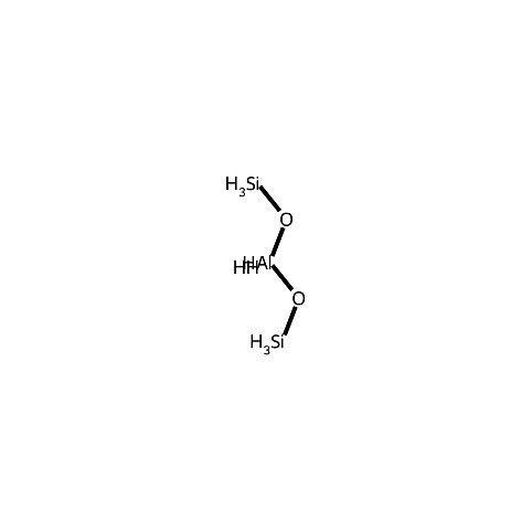 [HH].[SiH3][O][AlH][O][SiH3]